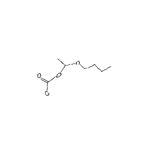 CCCCOC(C)OC([O])=O